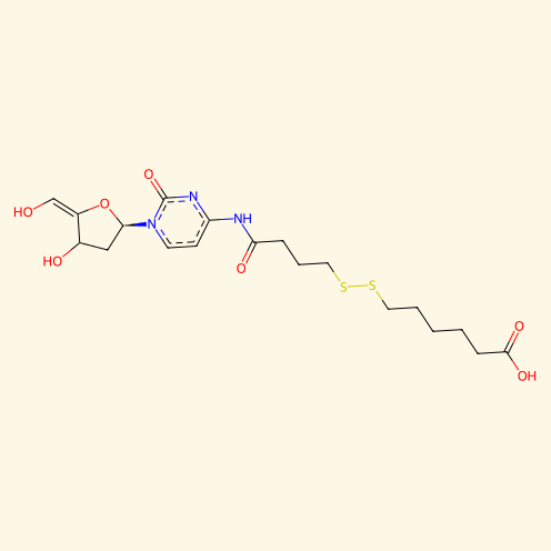 O=C(O)CCCCCSSCCCC(=O)Nc1ccn([C@H]2CC(O)/C(=C\O)O2)c(=O)n1